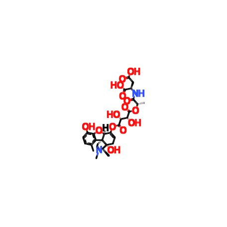 Cc1ccc(O)c2c1[C@]13CCN(C)[C@H](C)[C@]1(O)CC=C(OC(=O)[C@H](O)[C@@H](O)C(=O)O[C@@H](C)C(=O)N[C@H](CC(=O)O)C(=O)O)[C@@H]3O2